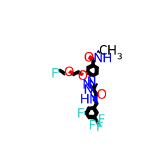 CCNC(=O)c1ccc(-n2cc(C(=O)NCc3cc(F)cc(C(F)(F)F)c3)nn2)c(OCCOCCF)c1